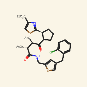 CCOC(=O)c1csc([C@H]2CCCC2C(=O)[C@H](OC(C)=O)[C@@H](OC(C)=O)C(=O)NCc2cc(Cc3ccccc3Cl)cs2)n1